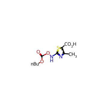 CCCCOC(=O)ONc1nc(C)c(C(=O)O)s1